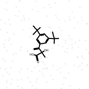 C=C(c1cc(C(C)(C)C)cc(C(C)(C)C)c1)C(C)(O)C(=O)O